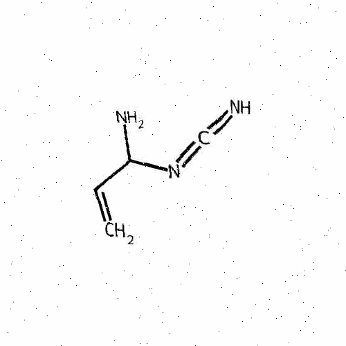 C=CC(N)N=C=N